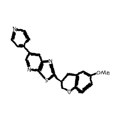 COc1ccc2c(c1)CC(c1nc3cc(-c4ccncc4)cnc3s1)CO2